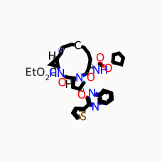 CCOC(=O)[C@@]12C[C@H]1/C=C\CCCCC[C@H](NC(=O)OC1CCCC1)C(=O)N1C[C@H](Oc3nc4ccccc4nc3-c3cccs3)C[C@H]1C(=O)N2